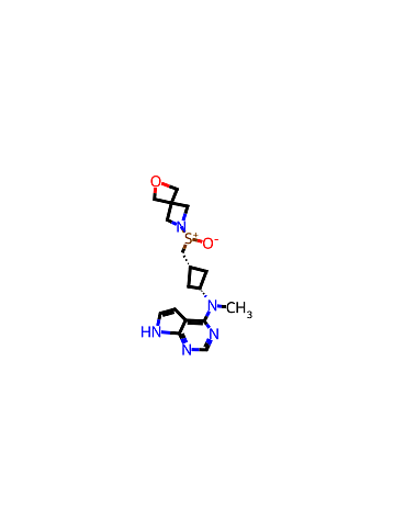 CN(c1ncnc2[nH]ccc12)[C@H]1C[C@@H](C[S+]([O-])N2CC3(COC3)C2)C1